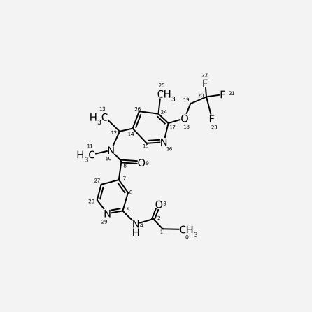 CCC(=O)Nc1cc(C(=O)N(C)C(C)c2cnc(OCC(F)(F)F)c(C)c2)ccn1